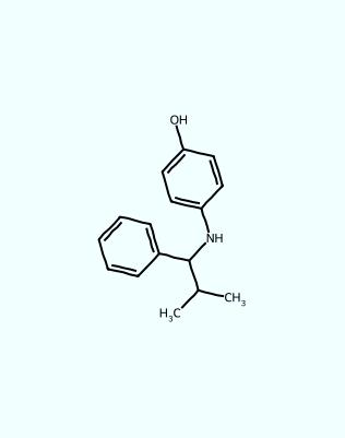 CC(C)C(Nc1ccc(O)cc1)c1ccccc1